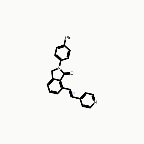 CC(C)(C)c1ccc(N2Cc3cccc(/C=C/c4ccncc4)c3C2=O)cc1